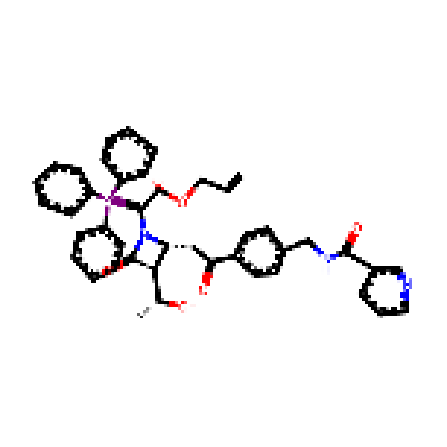 C=CCOC(=O)C(N1C(=O)[C@H]([C@@H](C)O)[C@H]1CC(=O)c1ccc(CNC(=O)c2cccnc2)cc1)=P(c1ccccc1)(c1ccccc1)c1ccccc1